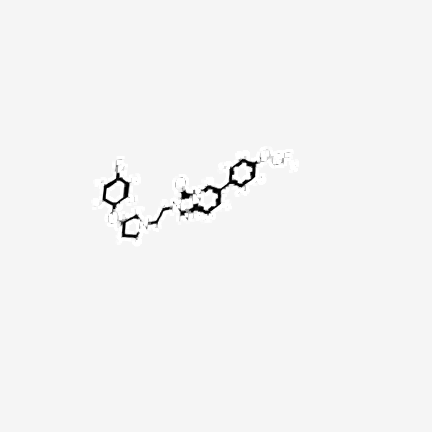 O=c1n(CCN2CC[C@@H](OC3C=CC(F)=CC3)C2)nc2ccc(-c3ccc(OC(F)(F)F)cc3)cn12